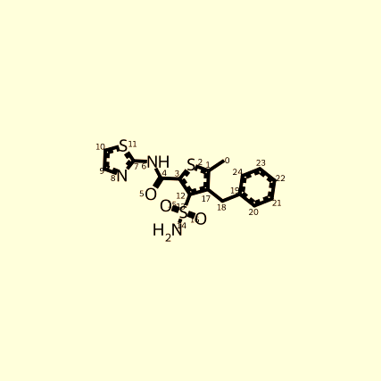 Cc1sc(C(=O)Nc2nccs2)c(S(N)(=O)=O)c1Cc1ccccc1